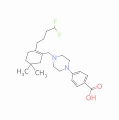 CC1(C)CCC(CCCC(F)F)=C(CN2CCN(c3ccc(C(=O)O)cc3)CC2)C1